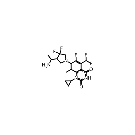 CC(N)C1CN(C2C(F)=C(C(F)F)c3c(n(C4CC4)c(=O)[nH]c3=O)C2C)CC1(F)F